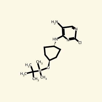 CC(C)(C)[Si](C)(C)O[C@H]1CC[C@H](Nc2nc(Cl)ncc2N)CC1